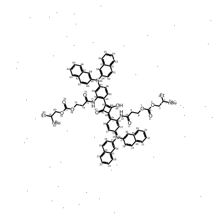 CCCCC(CC)COC(=O)OCCC(=O)NC1=CC(=[N+](c2ccc3ccccc3c2)c2ccc3ccccc3c2)C=C/C1=C1\C(=O)C(c2ccc(N(c3ccc4ccccc4c3)c3ccc4ccccc4c3)cc2NC(=O)CCOC(=O)OCC(CC)CCCC)=C1O